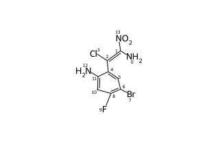 N/C(=C(/Cl)c1cc(Br)c(F)cc1N)[N+](=O)[O-]